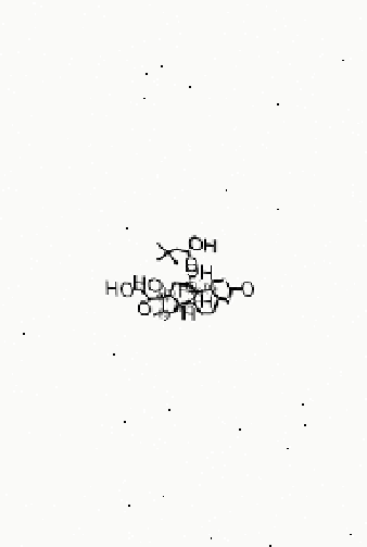 CC(C)(C)CC(=O)O.C[C@@H]1C[C@H]2[C@@H]3CCC4=CC(=O)C=C[C@]4(C)[C@@]3(F)[C@@H](O)C[C@]2(C)[C@@]1(O)C(=O)CO